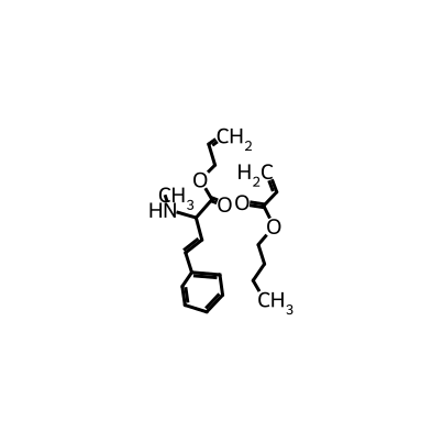 C=CC(=O)OCCCC.C=CCOC(=O)C(C=Cc1ccccc1)NC